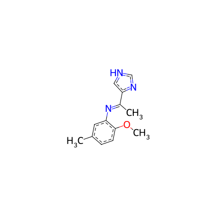 COc1ccc(C)cc1N=C(C)c1c[nH]cn1